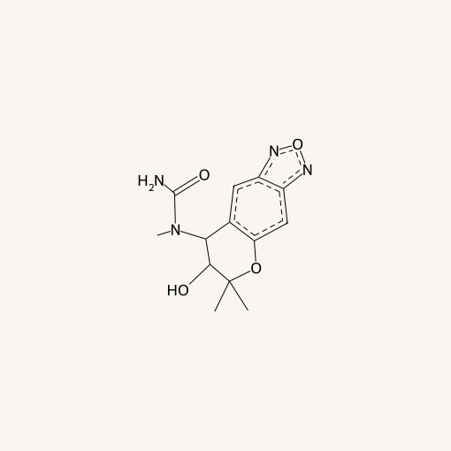 CN(C(N)=O)C1c2cc3nonc3cc2OC(C)(C)C1O